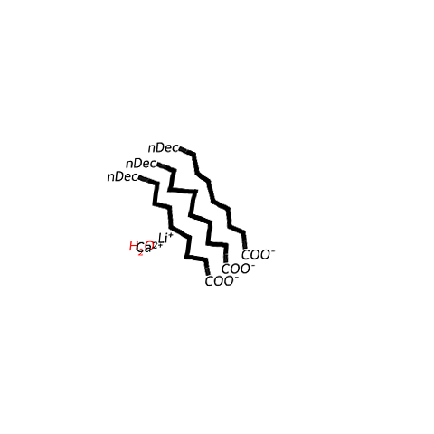 CCCCCCCCCCCCCCCCCC(=O)[O-].CCCCCCCCCCCCCCCCCC(=O)[O-].CCCCCCCCCCCCCCCCCC(=O)[O-].O.[Ca+2].[Li+]